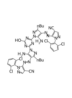 CCCCc1nn(-c2nc(O)nc(-n3nc(CCCC)c(N=Nc4c(C#N)cnn4-c4c(Cl)cccc4Cl)c3N)n2)c(N)c1N=Nc1c(C#N)cnn1-c1c(Cl)cccc1Cl